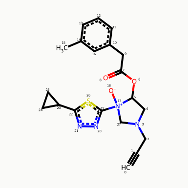 C#CCN1CC(OC(=O)Cc2cccc(C)c2)[N+]([O-])(c2nnc(C3CC3)s2)C1